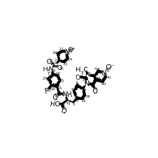 Cn1c(=O)n(-c2ccc(C[C@H](NC(=O)c3ccc(NS(=O)(=O)c4cc[n+]([O-])cc4)cc3F)C(=O)O)cc2)c(=O)c2cc[n+]([O-])cc21